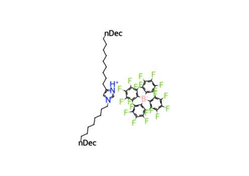 CCCCCCCCCCCCCCCCCCCc1cn(CCCCCCCCCCCCCCCCCC)c[nH+]1.Fc1c(F)c(F)c([B-](c2c(F)c(F)c(F)c(F)c2F)(c2c(F)c(F)c(F)c(F)c2F)c2c(F)c(F)c(F)c(F)c2F)c(F)c1F